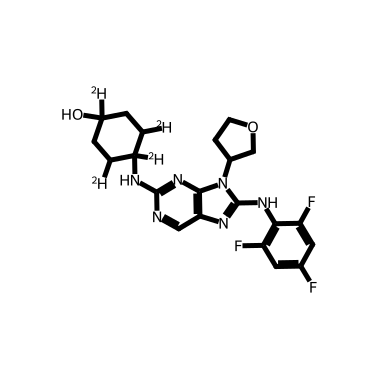 [2H]C1CC([2H])(O)CC([2H])C1([2H])Nc1ncc2nc(Nc3c(F)cc(F)cc3F)n(C3CCOC3)c2n1